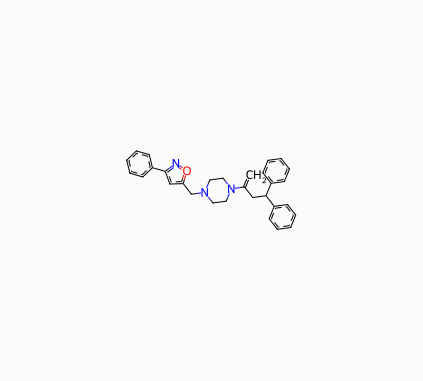 C=C(CC(c1ccccc1)c1ccccc1)N1CCN(Cc2cc(-c3ccccc3)no2)CC1